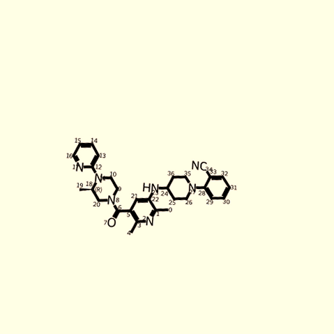 Cc1nc(C)c(C(=O)N2CCN(c3ccccn3)[C@H](C)C2)cc1NC1CCN(c2ccccc2C#N)CC1